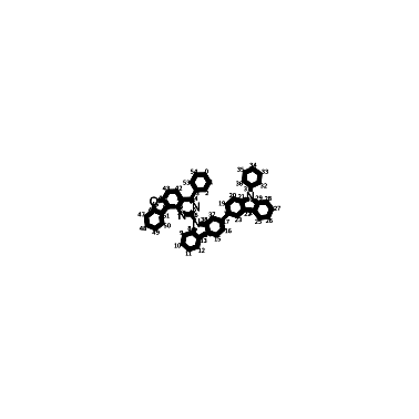 c1ccc(-c2nc(-n3c4ccccc4c4ccc(-c5ccc6c(c5)c5ccccc5n6-c5ccccc5)cc43)nc3c2ccc2oc4ccccc4c23)cc1